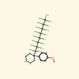 COc1ccc(C2(C(F)(F)C(F)(F)C(F)(F)C(F)(F)C(F)(F)C(F)(F)C(F)(F)C(F)(F)F)CCCCC2)cc1